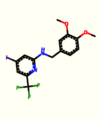 COc1ccc(CNc2cc(I)cc(C(F)(F)F)n2)cc1OC